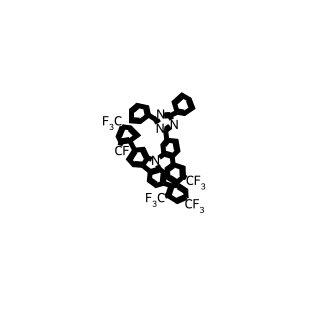 FC(F)(F)c1cccc(-c2ccc(-c3nc(-c4ccccc4)nc(-c4ccccc4)n3)cc2-n2c3cc(-c4ccc(C(F)(F)F)cc4C(F)(F)F)ccc3c3ccc(-c4ccc(C(F)(F)F)cc4C(F)(F)F)cc32)c1